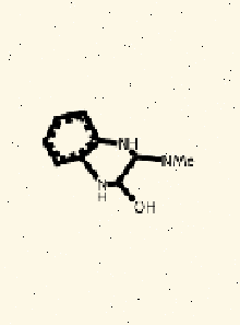 CNC1Nc2ccccc2NC1O